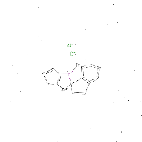 CCP1C2=[C](CC=C2)[Zr+2][C]12C=Cc1ccccc12.[Cl-].[Cl-]